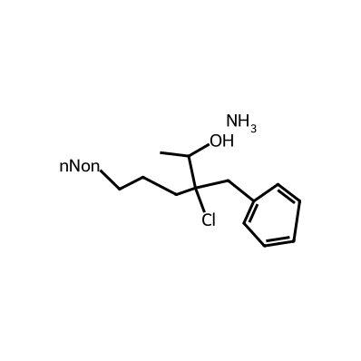 CCCCCCCCCCCCC(Cl)(Cc1ccccc1)C(C)O.N